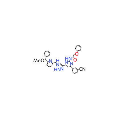 COC(c1ccccc1)c1cccc(CN/C=C(\N=N)c2cc(-c3cccc(C#N)c3)nc(NC(=O)COc3ccccc3)n2)n1